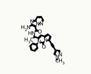 CC(NC(=O)c1c(N)nc2cccnn12)c1cc2ccc(C#Cc3cnn(C)c3)n2c(=O)n1-c1ccccc1